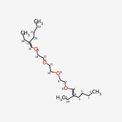 CCCCC(=COCCOCCOCCOC=C(CC)CCCC)CC